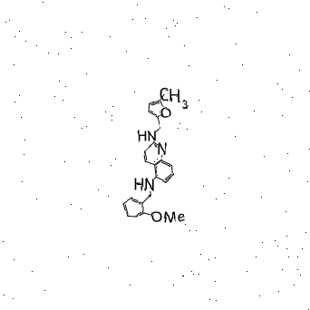 COc1ccccc1CNc1cccc2nc(NCc3ccc(C)o3)ccc12